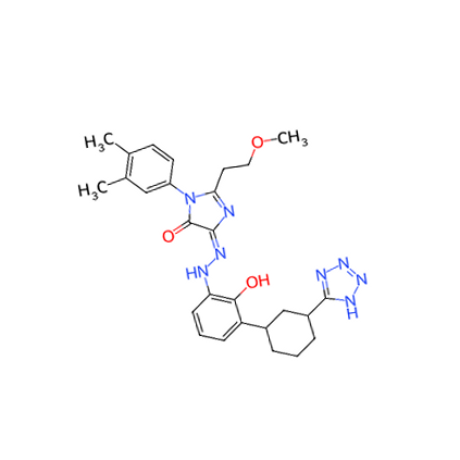 COCCC1=N/C(=N/Nc2cccc(C3CCCC(c4nnn[nH]4)C3)c2O)C(=O)N1c1ccc(C)c(C)c1